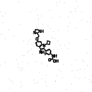 Nc1c(-c2ccc(NC(=O)O)cc2)n(C2CCC2)c2cc(OCc3ncc[nH]3)ccc12